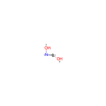 OB=NO